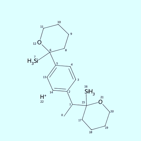 CC(c1ccc(C2([SiH3])CCCCO2)cc1)C1([SiH3])CCCCO1.[H+]